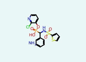 N.O=P(O)(Oc1cccnc1Cl)C(NS(=O)(=O)c1cccs1)c1ccccc1